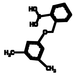 Cc1cc(C)cc(OCc2ccccc2B(O)O)c1